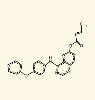 C/C=C/C(=O)Nc1ccc2ncnc(Nc3ccc(Oc4ccccc4)cc3)c2c1